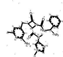 CCC[C@@H](NC(=O)N1C(=O)[C@H](Cc2cc(C)nc(N)c2)[C@H]1C(=O)N(C)c1cn(C)cn1)c1ccccc1